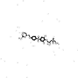 CCS(=O)(=O)C[C@@H](C)COc1c(Cl)cc(S(=O)(=O)c2ccc(OC[C@H](CCl)OC(C)=O)cc2)cc1Cl